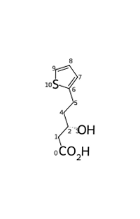 O=C(O)C[C@@H](O)CCc1cccs1